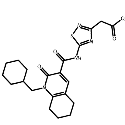 O=C(O)Cc1nsc(NC(=O)c2cc3c(n(CC4CCCCC4)c2=O)CCCC3)n1